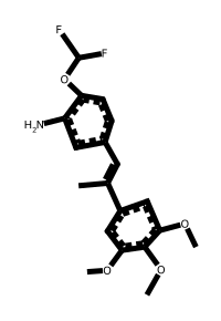 COc1cc(/C(C)=C/c2ccc(OC(F)F)c(N)c2)cc(OC)c1OC